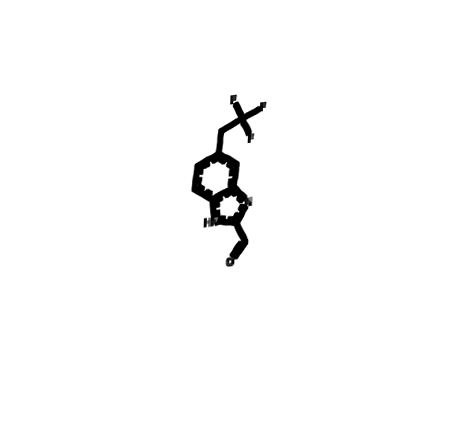 O=Cc1nc2cc(CC(F)(F)F)ccc2[nH]1